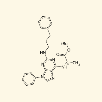 C[C@H](Nc1nc(NCCCc2ccccc2)nc2c1ncn2-c1ccccc1)C(=O)OC(C)(C)C